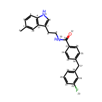 Cc1ccc2[nH]cc(CCNC(=O)c3ccc(Cc4cccc(F)c4)cc3)c2c1